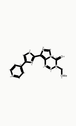 COCn1nnc2c(-c3nc(-c4ccncc4)cs3)ncn2c1=O